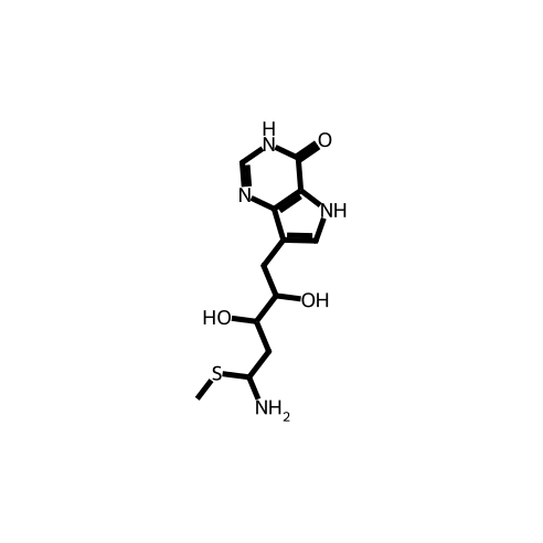 CSC(N)CC(O)C(O)Cc1c[nH]c2c(=O)[nH]cnc12